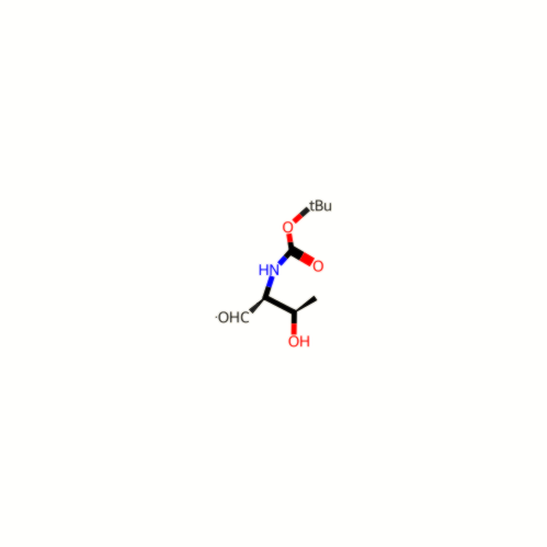 C[C@@H](O)[C@@H]([C]=O)NC(=O)OC(C)(C)C